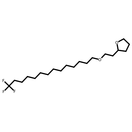 FC(F)(F)CCCCCCCCCCCCCOCCC1CCCO1